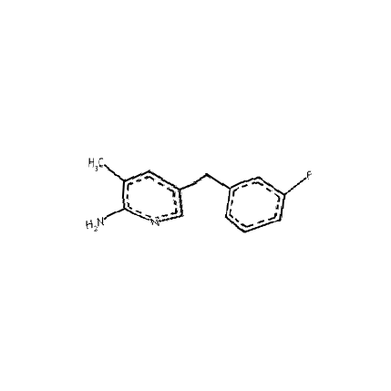 Cc1cc(Cc2cccc(F)c2)cnc1N